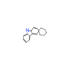 C1=CC2(C=C3C1=Nc1ccccc13)CCCCC2